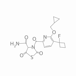 NC(=O)C1C(=O)SC(=O)N1C(=O)c1ccc(C2(F)CCC2)c(OCC2CC2)n1